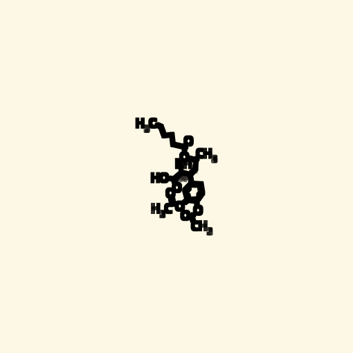 CCCCCC(=O)OC(C)CC(c1ccc(OC(C)=O)c(OC(C)=O)c1)[C@H](N)C(=O)O